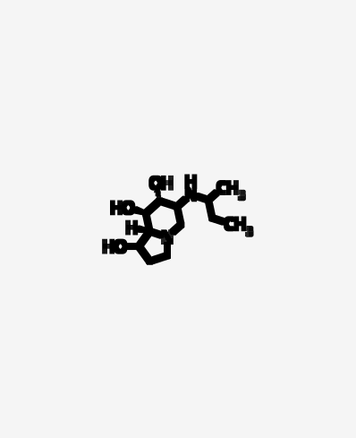 CCC(C)NC1CN2CCC(O)[C@@H]2[C@@H](O)[C@@H]1O